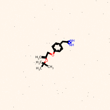 C=C(COc1ccc(CC2NN2)cc1)OC(C)(C)C